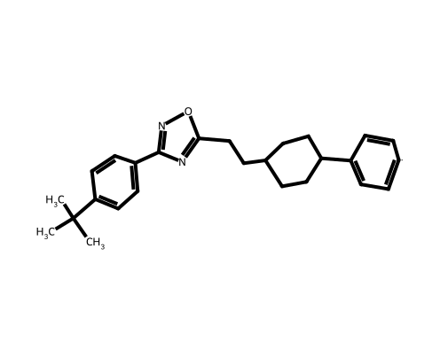 CC(C)(C)c1ccc(-c2noc(CCC3CCC(c4cc[c]cc4)CC3)n2)cc1